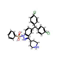 O=S(=O)(c1ccccc1)n1nc(C2CCNCC2)c2cc(C(c3ccc(Cl)cc3)c3ccc(Cl)cc3)ccc21